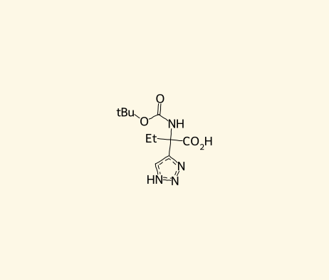 CCC(NC(=O)OC(C)(C)C)(C(=O)O)c1c[nH]nn1